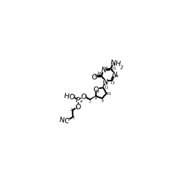 N#CCCOP(O)OC[C@@H]1CC[C@H](n2cnc(N)nc2=O)O1